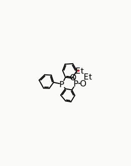 CCOP(OCC)c1ccccc1P(c1ccccc1)c1ccccc1